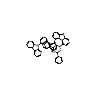 c1ccc(C2NC(c3ccccc3)NC(c3cccc4sc5cccc(-c6cccc7sc8c(-n9c%10ccccc%10c%10ccccc%109)cccc8c67)c5c34)N2)cc1